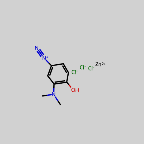 CN(C)c1cc([N+]#N)ccc1O.[Cl-].[Cl-].[Cl-].[Zn+2]